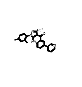 Cc1ccc(-n2ncc(C(=O)c3cccc(-c4cccnc4)c3)c2N)c(C)c1.Cl